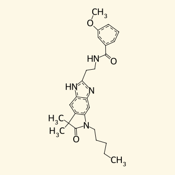 CCCCCN1C(=O)C(C)(C)c2cc3[nH]c(CCNC(=O)c4cccc(OC)c4)nc3cc21